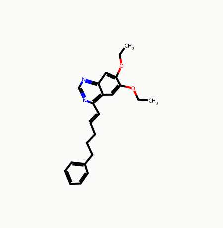 CCOc1cc2ncnc(C=CCCCc3ccccc3)c2cc1OCC